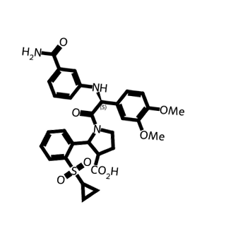 COc1ccc([C@H](Nc2cccc(C(N)=O)c2)C(=O)N2CCC(C(=O)O)C2c2ccccc2S(=O)(=O)C2CC2)cc1OC